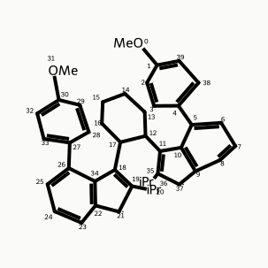 COc1ccc(-c2cccc3c2C(C2CCCCC2C2=C(C(C)C)[CH]c4cccc(-c5ccc(OC)cc5)c42)=C(C(C)C)[CH]3)cc1